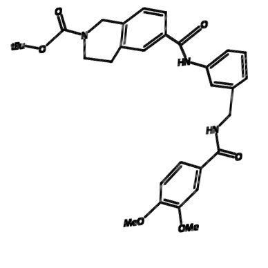 COc1ccc(C(=O)NCc2cccc(NC(=O)c3ccc4c(c3)CCN(C(=O)OC(C)(C)C)C4)c2)cc1OC